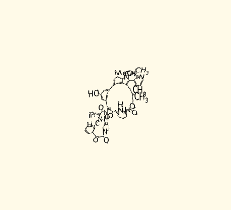 CO[C@@H](C)c1ncccc1-c1c2c3cc(ccc3n1C)-c1cc(O)cc(c1)C[C@H](NC(=O)[C@H](C(C)C)N(C)C(=O)[C@H]1CCN(C(=O)C3OC3c3ccccc3)C1)C(=O)N1CCC[C@H](N1)C(=O)OCC(C)(C)C2